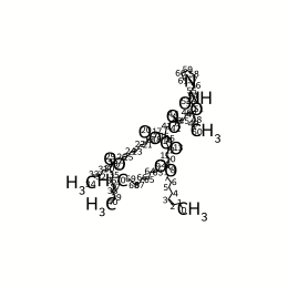 CC/C=C\CCCCOC(CCC(=O)OCC(COC(=O)CCCCCCOC(=O)C(CCCC)CCCCCC)COC(=O)CCC(CCC)OC(=O)NCCN1CCCC1)OCCCC/C=C\CC